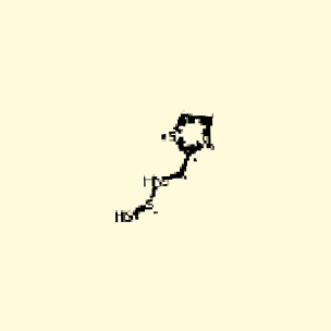 SSNCc1nccs1